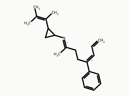 C=C/C=C(\CC/C(C)=N/C1CC1C(C)=C(C)C)c1ccccc1